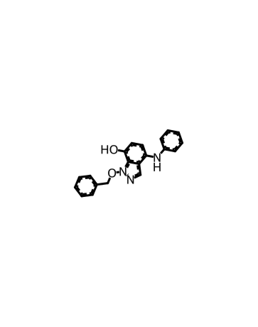 Oc1ccc(Nc2ccccc2)c2cnn(OCc3ccccc3)c12